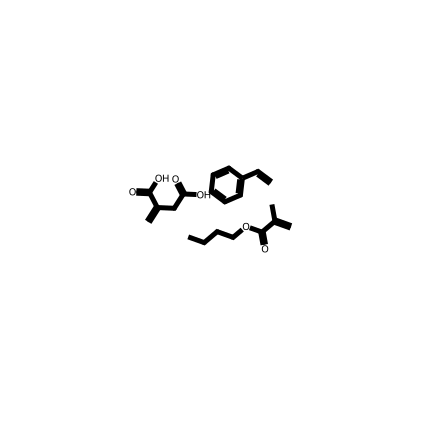 C=C(C)C(=O)OCCCC.C=C(CC(=O)O)C(=O)O.C=Cc1ccccc1